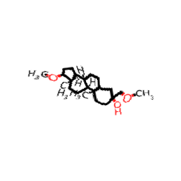 COCC1(O)CC[C@@]2(C)C(CC[C@@H]3[C@H]2CC[C@]2(C)C(OC)CC[C@@H]32)C1